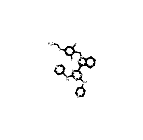 CCOc1cc(F)c(Cn2nc(-c3nc(Nc4ccncc4)nc(Nc4ccncc4)n3)c3ccccc32)c(F)c1